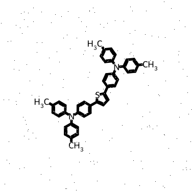 Cc1ccc(N(c2ccc(C)cc2)c2ccc(-c3ccc(-c4ccc(N(c5ccc(C)cc5)c5ccc(C)cc5)cc4)s3)cc2)cc1